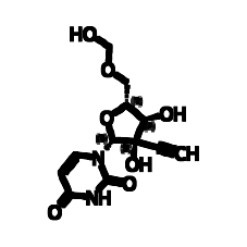 C#C[C@@]1(O)[C@H](O)[C@@H](COCO)O[C@H]1n1ccc(=O)[nH]c1=O